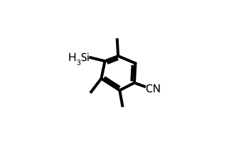 Cc1cc(C#N)c(C)c(C)c1[SiH3]